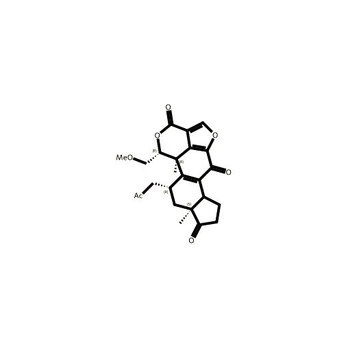 COC[C@@H]1OC(=O)c2coc3c2[C@@]1(C)C1=C(C3=O)C2CCC(=O)[C@@]2(C)C[C@@H]1CC(C)=O